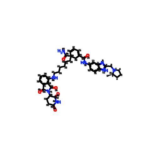 C[C@H]1CCCN1Cc1nc2cc(NC(=O)C3=CC=CC(CCCCCCNc4cccc5c4C(=O)N(C4CCC(=O)NC4=O)C5=O)(C(N)=O)C3)ccc2[nH]1